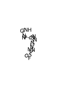 Fc1ccccc1Sc1cnc(N2CCN(c3ncnn4cc(-c5cnn(C[C@@H]6CNCCO6)c5)cc34)CC2)nc1